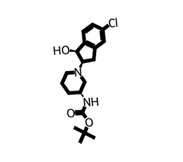 CC(C)(C)OC(=O)N[C@@H]1CCCN([C@@H]2Cc3cc(Cl)ccc3[C@@H]2O)C1